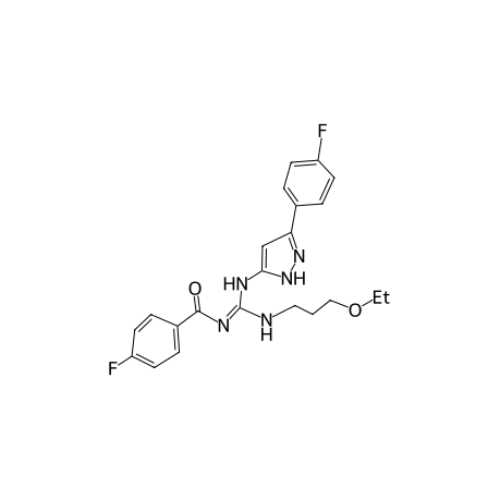 CCOCCCN/C(=N/C(=O)c1ccc(F)cc1)Nc1cc(-c2ccc(F)cc2)n[nH]1